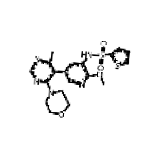 COc1ncc(-c2c(C)ncnc2N2CCOCC2)cc1NS(=O)(=O)c1cccs1